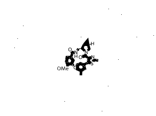 COc1ccc(C(=O)NC[C@@H]2C3C[C@H]3CN2C(=O)c2nc(C)sc2-c2cccc(C)c2)cc1C(F)(F)F